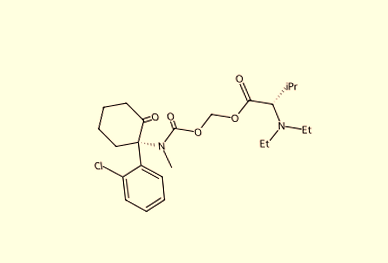 CCN(CC)[C@H](C(=O)OCOC(=O)N(C)[C@]1(c2ccccc2Cl)CCCCC1=O)C(C)C